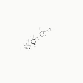 CS(=O)(=O)NC(=O)c1cc(Cl)c(COc2cnc(OCCC(F)(F)F)c(Cl)c2)cc1F